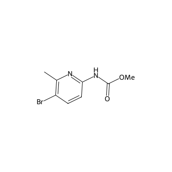 COC(=O)Nc1ccc(Br)c(C)n1